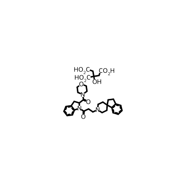 O=C(C1Cc2ccccc2N1C(=O)CCN1CCC2(CCc3ccccc32)CC1)N1CCOCC1.O=C(O)CC(O)(CC(=O)O)C(=O)O